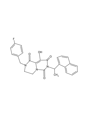 CC(c1cccc2ccccc12)n1c(=O)c(O)c2n(c1=O)CCN(Cc1ccc(F)cc1)C2=O